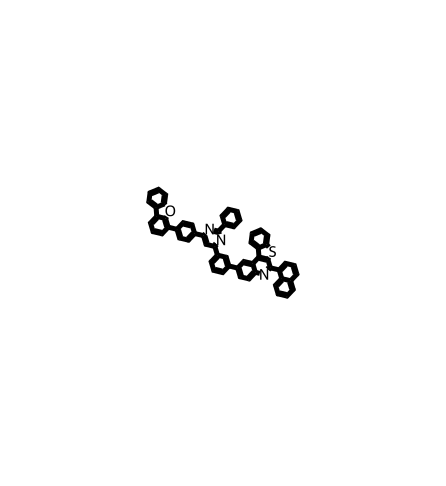 c1ccc(-c2nc(-c3ccc(-c4cccc5c4oc4ccccc45)cc3)cc(-c3cccc(-c4ccc5nc(-c6cccc7ccccc67)c6sc7ccccc7c6c5c4)c3)n2)cc1